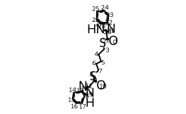 O=C(SCCCCCSC(=O)c1nc2ccccc2[nH]1)c1nc2ccccc2[nH]1